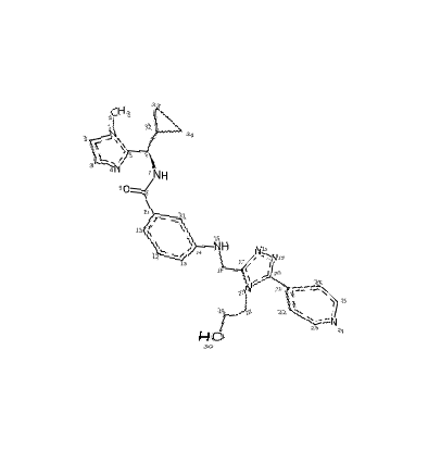 Cn1ccnc1[C@H](NC(=O)c1cccc(NCc2nnc(-c3ccncc3)n2CCO)c1)C1CC1